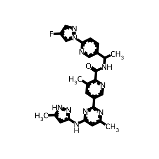 Cc1cc(Nc2cc(C)[nH]n2)nc(-c2cnc(C(=O)NC(C)c3ccc(-n4cc(F)cn4)nc3)c(C)c2)n1